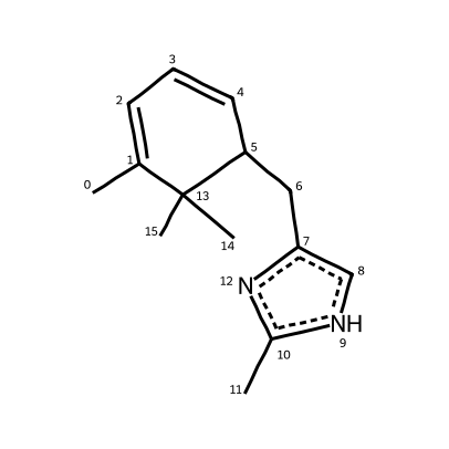 CC1=CC=CC(Cc2c[nH]c(C)n2)C1(C)C